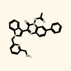 CC(=O)On1c(=O)c(-c2cn(Cc3cccc(CN)n3)c3ccccc23)nc2ccc(-c3ccccc3)cc21